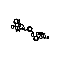 COc1cccc(OCc2cccc(CN3CCN(c4ncccc4C(=O)OC(C)C)CC3)c2)c1OC